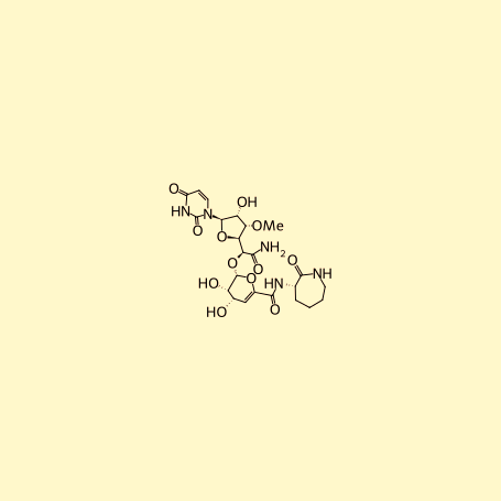 CO[C@H]1[C@@H](O)[C@H](n2ccc(=O)[nH]c2=O)O[C@@H]1[C@H](O[C@@H]1OC(C(=O)N[C@H]2CCCCNC2=O)=C[C@H](O)[C@@H]1O)C(N)=O